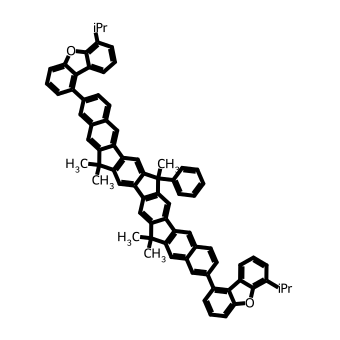 CC(C)c1cccc2c1oc1cccc(-c3ccc4cc5c(cc4c3)C(C)(C)c3cc4c(cc3-5)C(C)(c3ccccc3)c3cc5c(cc3-4)C(C)(C)c3cc4cc(-c6cccc7oc8c(C(C)C)cccc8c67)ccc4cc3-5)c12